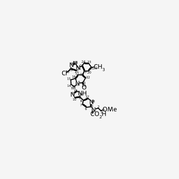 COCCN(C(=O)O)c1ccc(-c2cnc([C@@H]3CCc4cc(-c5cc(C)ccc5-n5cc(Cl)nn5)cc(=O)n43)[nH]2)cn1